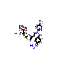 CCc1cnc(N(CCc2csc(SC(C)(C)C(=O)OC(C)(C)C)n2)Cc2ccc(N)cc2)nc1